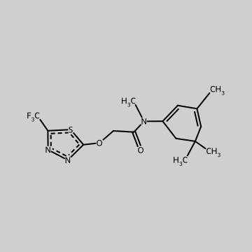 CC1=CC(C)(C)CC(N(C)C(=O)COc2nnc(C(F)(F)F)s2)=C1